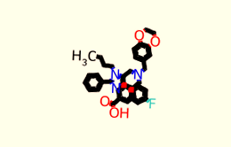 CCCCn1c(-c2ccccc2)nc(-c2ccc(F)cc2)c1CN(Cc1ccc(C(=O)O)cc1)Cc1ccc2c(c1)OCCO2